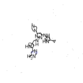 C=C/C=C(\N=C/N)C1C=C(CNc2nc(Nc3cc(C4CC4)[nH]n3)cc(N3CCN(C)CC3)n2)ON1